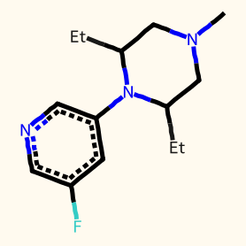 CCC1CN(C)CC(CC)N1c1cncc(F)c1